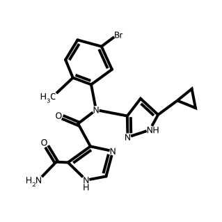 Cc1ccc(Br)cc1N(C(=O)c1nc[nH]c1C(N)=O)c1cc(C2CC2)[nH]n1